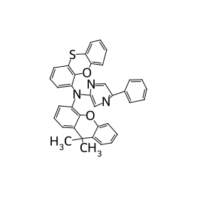 CC1(C)c2ccccc2Oc2c(N(c3cnc(-c4ccccc4)cn3)c3cccc4c3Oc3ccccc3S4)cccc21